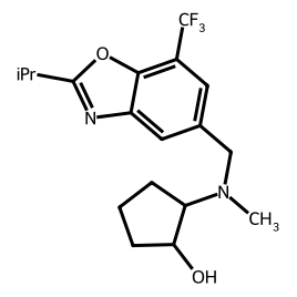 CC(C)c1nc2cc(CN(C)C3CCCC3O)cc(C(F)(F)F)c2o1